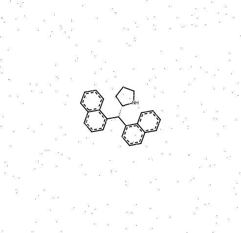 c1ccc2c(C(c3cccc4ccccc34)[C@@H]3CCCN3)cccc2c1